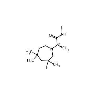 C[C@H](C(=O)NI)N1CCC(C)(C)CC(C)(I)C1